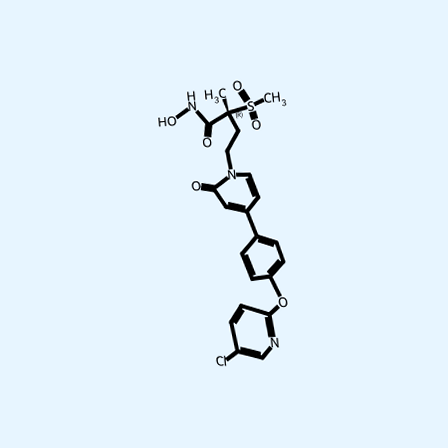 C[C@@](CCn1ccc(-c2ccc(Oc3ccc(Cl)cn3)cc2)cc1=O)(C(=O)NO)S(C)(=O)=O